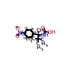 CC(C)(C)[C@@](C)(NC(=O)O)c1ccc([N+](=O)[O-])cc1